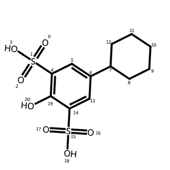 O=S(=O)(O)c1cc(C2CCCCC2)cc(S(=O)(=O)O)c1O